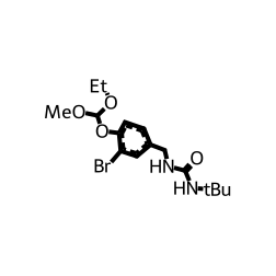 CCOC(OC)Oc1ccc(CNC(=O)NC(C)(C)C)cc1Br